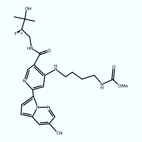 COC(=O)NCCCCNc1cc(-c2ccc3cc(C#N)cnn23)ncc1C(=O)NC[C@@H](F)C(C)(C)O